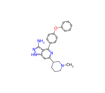 CN1CCCC(c2cc3[nH]nc(N)c3c(-c3ccc(Oc4ccccc4)cc3)n2)C1